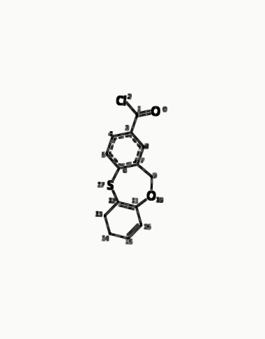 O=C(Cl)c1ccc2c(c1)COC1=C(CCC=C1)S2